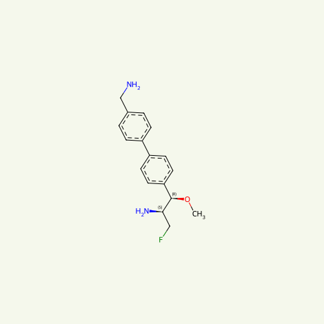 CO[C@H](c1ccc(-c2ccc(CN)cc2)cc1)[C@H](N)CF